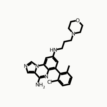 Cc1cccc(Cl)c1-c1cc(NCCCN2CCOCC2)cc2c1nc(N)c1cncn12